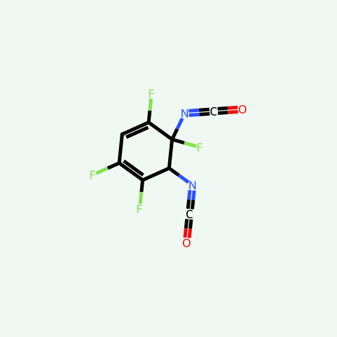 O=C=NC1C(F)=C(F)C=C(F)C1(F)N=C=O